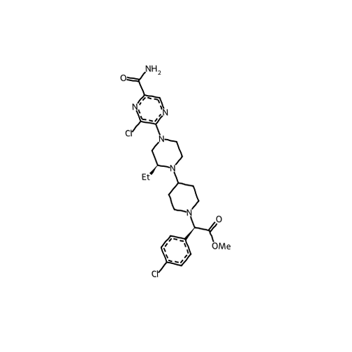 CC[C@H]1CN(c2ncc(C(N)=O)nc2Cl)CCN1C1CCN([C@@H](C(=O)OC)c2ccc(Cl)cc2)CC1